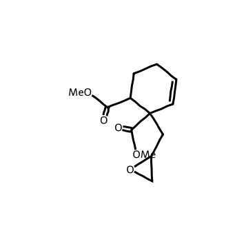 COC(=O)C1CCC=CC1(CC1CO1)C(=O)OC